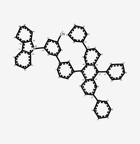 N#Cc1cc(-c2cccc(-c3c4ccc(-c5ccccc5)cc4c(-c4ccccc4)c4ccc(-c5ccccc5)cc34)c2)cc(-n2c3ccccc3c3ccccc32)c1